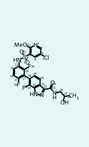 COc1ncc(Cl)cc1S(=O)(=O)Nc1ccc(F)c(-c2ccc3c(C(=O)NCC(C)O)n[nH]c3c2F)c1F